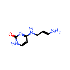 NC=CCNc1cc[nH]c(=O)n1